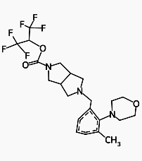 Cc1cccc(CN2CC3CN(C(=O)OC(C(F)(F)F)C(F)(F)F)CC3C2)c1N1CCOCC1